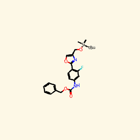 CC(C)(C)[Si](C)(C)OCc1coc(-c2ccc(NC(=O)OCc3ccccc3)cc2F)n1